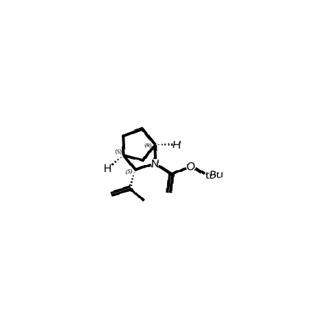 C=C(C)[C@@H]1[C@H]2CC[C@H](C2)N1C(=C)OC(C)(C)C